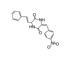 O=C1NC(C=Cc2ccccc2)C(=O)NC1=Cc1ccc([N+](=O)[O-])cc1